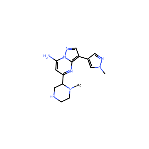 CC(=O)N1CCNCC1c1cc(N)n2ncc(-c3cnn(C)c3)c2n1